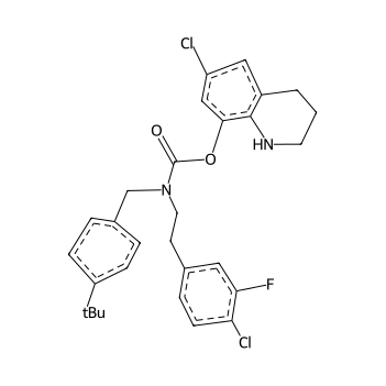 CC(C)(C)c1ccc(CN(CCc2ccc(Cl)c(F)c2)C(=O)Oc2cc(Cl)cc3c2NCCC3)cc1